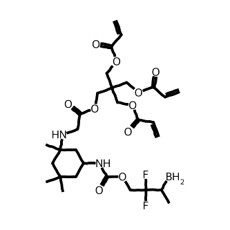 BC(C)C(F)(F)COC(=O)NC1CC(C)(C)CC(C)(NCC(=O)OCC(COC(=O)C=C)(COC(=O)C=C)COC(=O)C=C)C1